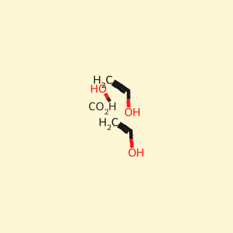 C=CO.C=CO.O=C(O)O